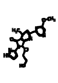 COc1cncc(-c2cc(C)c3c(n2)C(OCCO)N(c2cc[nH]n2)C3=O)c1